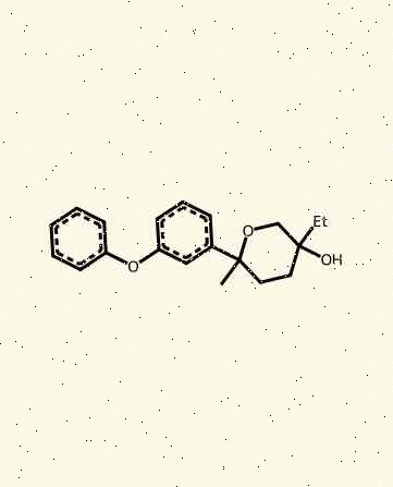 CCC1(O)CCC(C)(c2cccc(Oc3ccccc3)c2)OC1